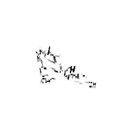 CCc1nc(N[C@@H](C)c2cccc(-c3cnc(N4CCC(O)CC4)nc3)c2)cc(-c2ccc3occ(C)c3c2)n1